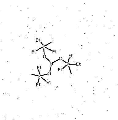 CCP(C)(CC)(CC)OB(OP(C)(CC)(CC)CC)OP(C)(CC)(CC)CC